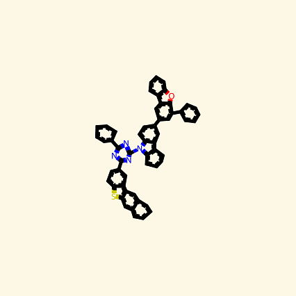 c1ccc(-c2nc(-c3ccc4sc5cc6ccccc6cc5c4c3)nc(-n3c4ccccc4c4cc(-c5cc(-c6ccccc6)c6oc7ccccc7c6c5)ccc43)n2)cc1